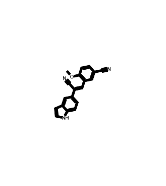 COc1ccc(C#N)cc1C=C(C#N)c1ccc2[nH]ccc2c1